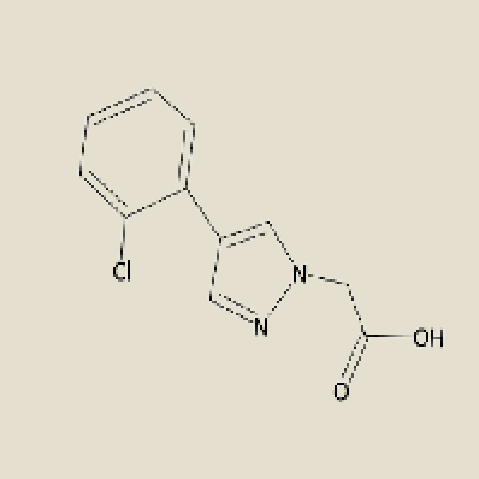 O=C(O)Cn1cc(-c2ccccc2Cl)cn1